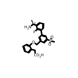 C[C@H](N)c1cccc(-c2cc(COc3ccccc3CC(=O)O)cc(S(C)(=O)=O)c2)c1F